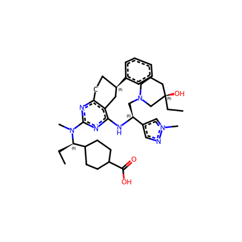 CC[C@H](C1CCC(C(=O)O)CC1)N(C)c1nc2c(c(N[C@@H](CN3CCC[C@](O)(CC)C3)c3cnn(C)c3)n1)C[C@H](c1ccccc1)CC2